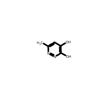 Cc1cc(O)c(O)nn1